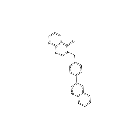 O=c1c2cccnc2ncn1Cc1ccc(-c2cnc3ccccc3c2)cc1